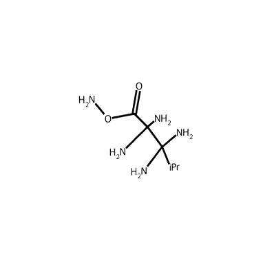 CC(C)C(N)(N)C(N)(N)C(=O)ON